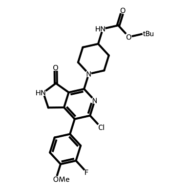 COc1ccc(-c2c(Cl)nc(N3CCC(NC(=O)OC(C)(C)C)CC3)c3c2CNC3=O)cc1F